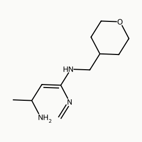 C=N/C(=C\C(C)N)NCC1CCOCC1